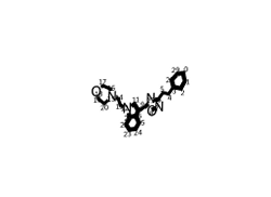 c1ccc(CCc2noc(-c3cn(CCN4CCOCC4)c4ccccc34)n2)cc1